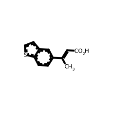 CC(=CC(=O)O)c1ccc2sccc2c1